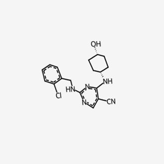 N#Cc1cnc(NCc2ccccc2Cl)nc1N[C@H]1CC[C@@H](O)CC1